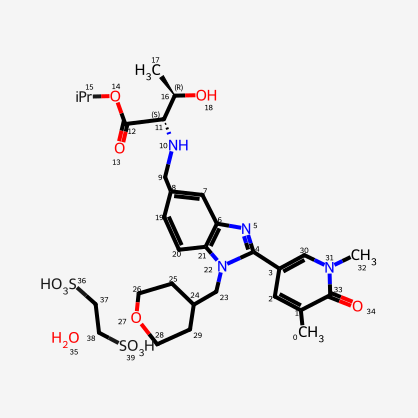 Cc1cc(-c2nc3cc(CN[C@H](C(=O)OC(C)C)[C@@H](C)O)ccc3n2CC2CCOCC2)cn(C)c1=O.O.O=S(=O)(O)CCS(=O)(=O)O